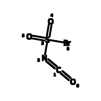 O=C=NS(=O)(=O)Br